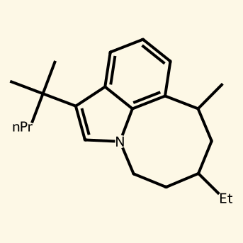 CCCC(C)(C)c1cn2c3c(cccc13)C(C)CC(CC)CC2